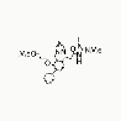 CNC(=N)NC(=O)CCc1ccc(-c2ccccc2)c(OCCCOC)c1Cn1cncn1